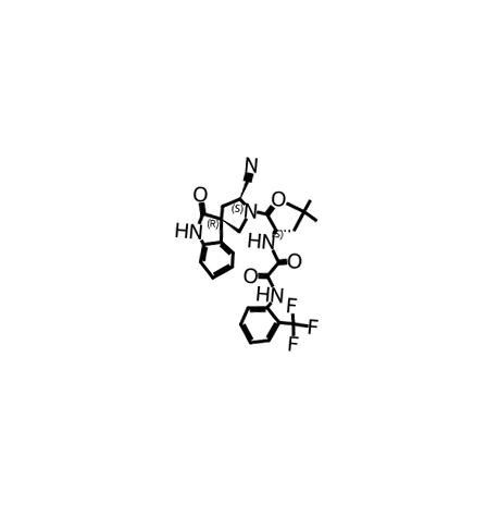 CC(C)(C)C[C@H](NC(=O)C(=O)Nc1ccccc1C(F)(F)F)C(=O)N1C[C@]2(C[C@H]1C#N)C(=O)Nc1ccccc12